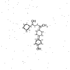 CN(CCC(O)c1ccccc1)C1CCC(c2ccc(O)cc2)CC1